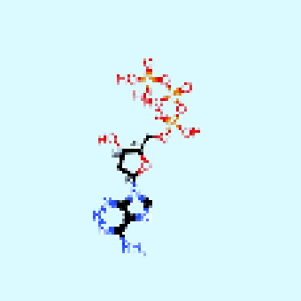 Nc1nnnc2c1ncn2[C@H]1C[C@H](O)[C@@H](COP(=O)(O)OP(=O)(O)OP(=O)(O)O)O1